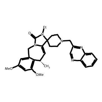 CCN1C(=O)N2Cc3cc(OC)cc(OC)c3[C@@H](C)C=C2C12CCN(Cc1cnc3ccccc3n1)CC2